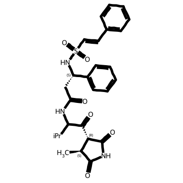 CC(C)C(NC(=O)C[C@H](NS(=O)(=O)C=Cc1ccccc1)c1ccccc1)C(=O)[C@@H]1C(=O)NC(=O)[C@H]1C